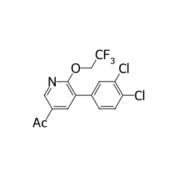 CC(=O)c1cnc(OCC(F)(F)F)c(-c2ccc(Cl)c(Cl)c2)c1